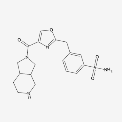 NS(=O)(=O)c1cccc(Cc2nc(C(=O)N3CC4CCNCC4C3)co2)c1